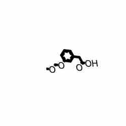 COCOc1cccc(CC(=O)O)c1